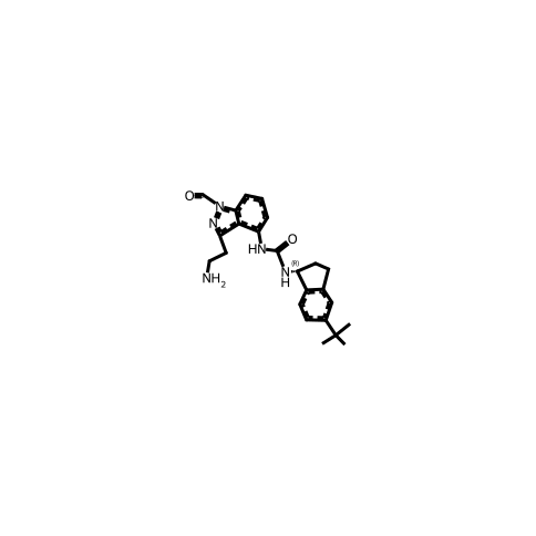 CC(C)(C)c1ccc2c(c1)CC[C@H]2NC(=O)Nc1cccc2c1c(CCN)nn2[C]=O